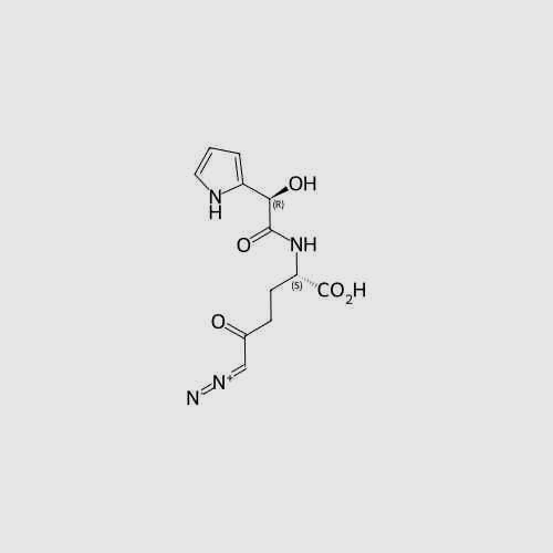 [N-]=[N+]=CC(=O)CC[C@H](NC(=O)[C@H](O)c1ccc[nH]1)C(=O)O